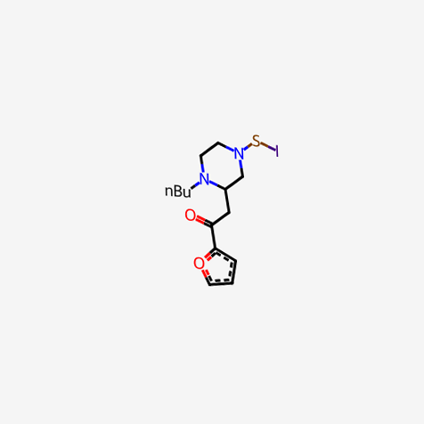 CCCCN1CCN(SI)CC1CC(=O)c1ccco1